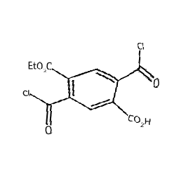 CCOC(=O)c1cc(C(=O)Cl)c(C(=O)O)cc1C(=O)Cl